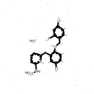 Cl.O=C(O)Nc1cccc(Cc2cc(Cl)ccc2OCc2ccc(Cl)cc2F)n1